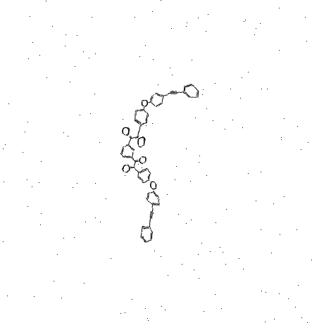 O=C(C(=O)c1cccc(C(=O)C(=O)c2ccc(Oc3ccc(C#Cc4ccccc4)cc3)cc2)c1)c1ccc(Oc2ccc(C#Cc3ccccc3)cc2)cc1